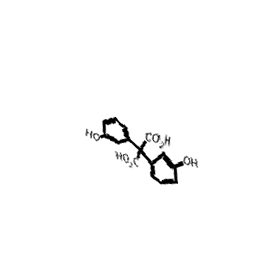 O=C(O)C(C(=O)O)(c1cccc(O)c1)c1cccc(O)c1